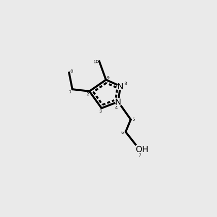 CCc1cn(CCO)nc1C